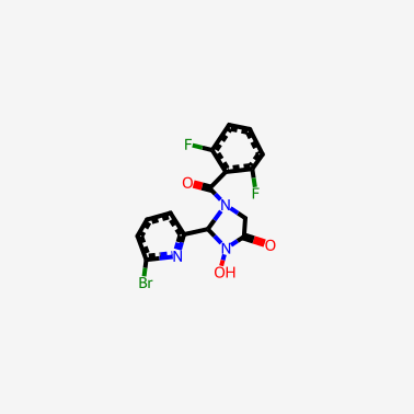 O=C1CN(C(=O)c2c(F)cccc2F)C(c2cccc(Br)n2)N1O